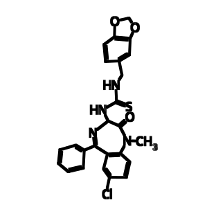 CN1C(=O)C(NC(=S)NCc2ccc3c(c2)OCO3)N=C(c2ccccc2)c2cc(Cl)ccc21